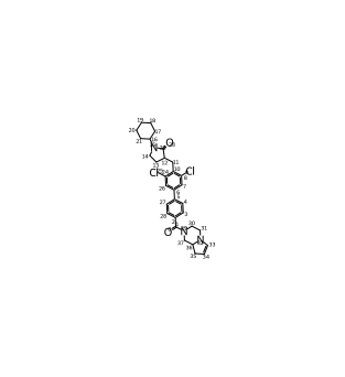 O=C(c1ccc(-c2cc(Cl)c(CC3CCN(C4CCCCC4)C3=O)c(Cl)c2)cc1)N1CCN2C=CCC2C1